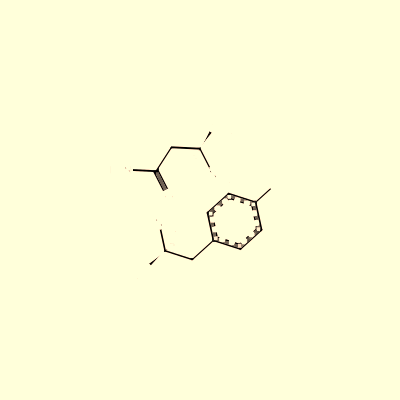 NC(=O)C[C@H](N)C(=O)O.N[C@@H](Cc1ccc(O)cc1)C(=O)O